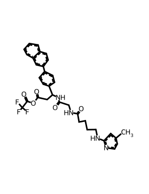 Cc1ccnc(NCCCCC(=O)NCC(=O)NC(CC(=O)OC(=O)C(F)(F)F)c2ccc(-c3ccc4ccccc4c3)cc2)c1